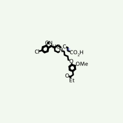 CCC(=O)Cc1ccc(OCCCCN2CCC(c3noc4cc(Cl)ccc34)CC2)c(OC)c1.O=C(O)/C=C/C(=O)O